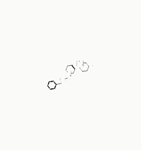 C[C@H]1CC[C@H](C2=CCCN(C(=O)OCc3ccccc3)C2)NC1